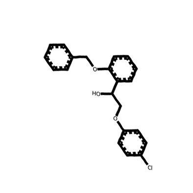 OC(COc1ccc(Cl)cc1)c1ccccc1OCc1ccccc1